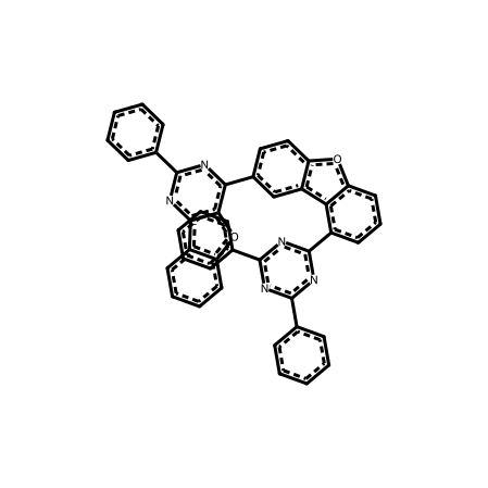 c1ccc(-c2nc(-c3ccccc3)nc(-c3cccc4oc5ccc(-c6nc(-c7ccccc7)nc7c6oc6ccccc67)cc5c34)n2)cc1